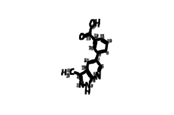 Cc1n[nH]c2ncc(-c3cccc(C(=O)O)c3)cc12